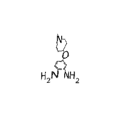 CN1CCC(Oc2ccc(N)c(N)c2)CC1